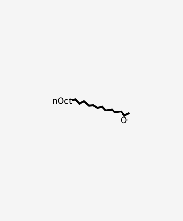 CCCCCCCCCCCCCCCCCCCC(C)[O]